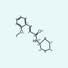 COc1ccccc1C=CC(=O)NC1CCCCC1